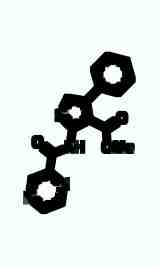 COC(=O)c1c(-c2ccccc2)csc1NC(=O)c1cnccn1